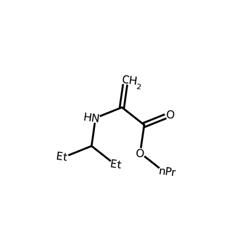 C=C(NC(CC)CC)C(=O)OCCC